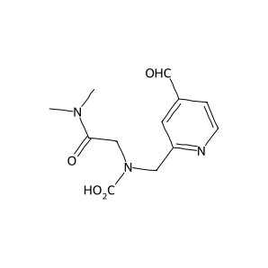 CN(C)C(=O)CN(Cc1cc(C=O)ccn1)C(=O)O